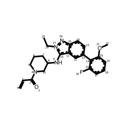 C=CC(=O)N1CCCC(Nc2c3cc(-c4c(F)cccc4OC)ccc3nn2CC)C1